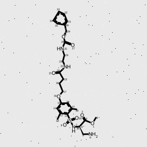 COC(=O)[C@@H](CN)NS(=O)(=O)c1c(C)cc(OCCCC(=O)NCCNC(=O)OCc2ccccc2)cc1C